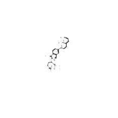 O=C1CC[C@H](N2Cc3cc(-c4ccc5cccnc5n4)ccc3C2=O)C(=O)N1